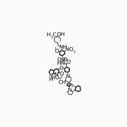 CC(C)c1ccccc1[C@H]1CCCN1C1CC2(CCN(c3ccc(C(=O)NS(=O)(=O)c4cc5c(c([N+](=O)[O-])c4)N[C@@H]([C@H]4CC[C@](C)(O)CC4)CO5)c(Oc4cc5cc[nH]c5nc4OC[C@H](C)O)c3)CC2)C1